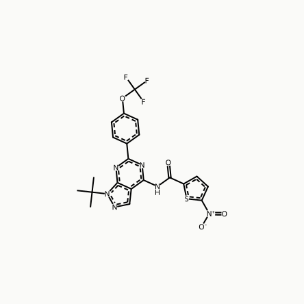 CC(C)(C)n1ncc2c(NC(=O)c3ccc([N+](=O)[O-])s3)nc(-c3ccc(OC(F)(F)F)cc3)nc21